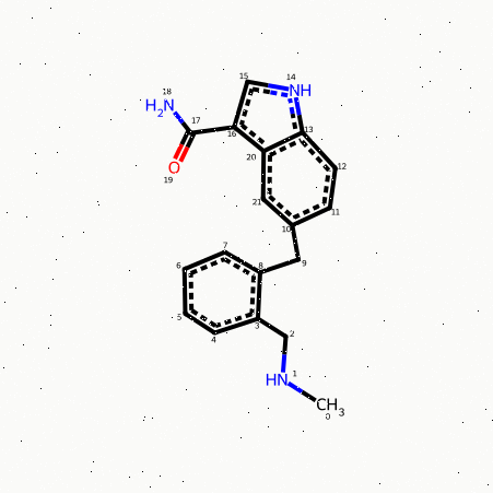 CNCc1ccccc1Cc1ccc2[nH]cc(C(N)=O)c2c1